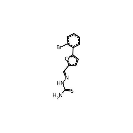 NC(=S)N/N=C/c1ccc(-c2ccccc2Br)o1